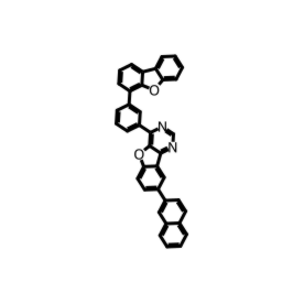 c1cc(-c2cccc3c2oc2ccccc23)cc(-c2ncnc3c2oc2ccc(-c4ccc5ccccc5c4)cc23)c1